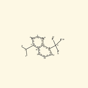 CC(C)c1ncnc2c(C(F)(F)F)cccc12